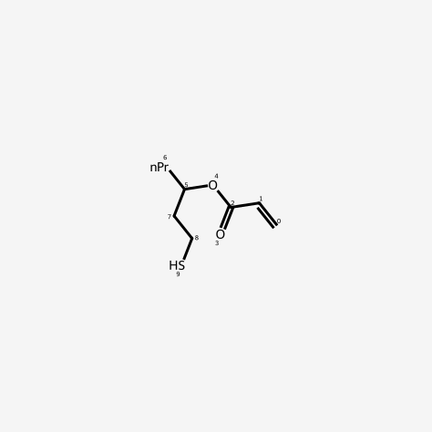 C=CC(=O)OC(CCC)CCS